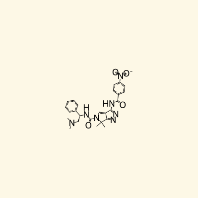 CN(C)C[C@H](NC(=O)N1C=C2C(NC(=O)c3ccc([N+](=O)[O-])cc3)=NN=C2C1(C)C)c1ccccc1